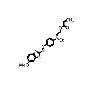 C=CC(=O)OCCN(CC)c1ccc(/N=N/c2nc3ccc(OC)cc3s2)cc1